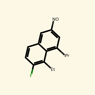 CCc1c(F)ccc2cc(N=O)cc(C(C)C)c12